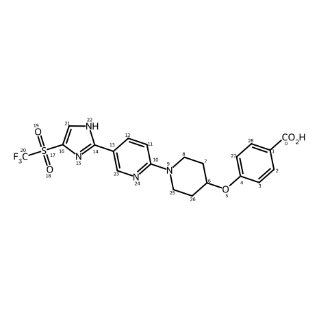 O=C(O)c1ccc(OC2CCN(c3ccc(-c4nc(S(=O)(=O)C(F)(F)F)c[nH]4)cn3)CC2)cc1